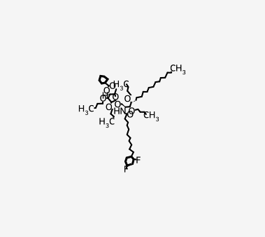 CCCCCCCCCCCCCC[C@@H](OCCCC)[C@@H](OCCCC)[C@H](CO[C@H]1OC2COC(c3ccccc3)O[C@@H]2[C@H](OCCCC)C1OCCCC)NC(=O)CCCCCCCCCCc1ccc(F)cc1F